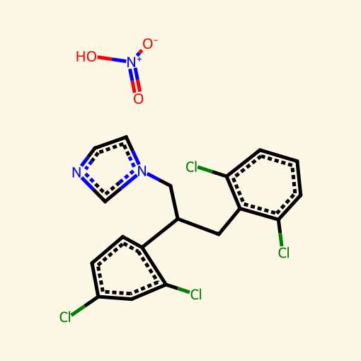 Clc1ccc(C(Cc2c(Cl)cccc2Cl)Cn2ccnc2)c(Cl)c1.O=[N+]([O-])O